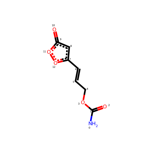 NC(=O)OCC=Cc1cc(=O)oo1